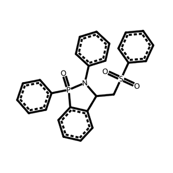 O=P1(c2ccccc2)c2ccccc2C(CS(=O)(=O)c2ccccc2)N1c1ccccc1